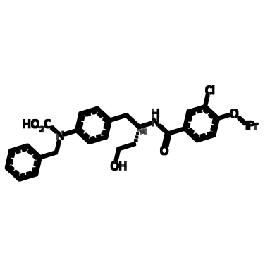 CC(C)Oc1ccc(C(=O)N[C@H](CCO)Cc2ccc(N(Cc3ccccc3)C(=O)O)cc2)cc1Cl